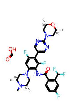 C[C@@H]1CN(c2ncc(-c3c(F)cc(N4C[C@@H](C)N(C)[C@@H](C)C4)c(NC(=O)c4ccc(F)cc4C(F)F)c3F)cn2)C[C@H](C)O1.O=CO